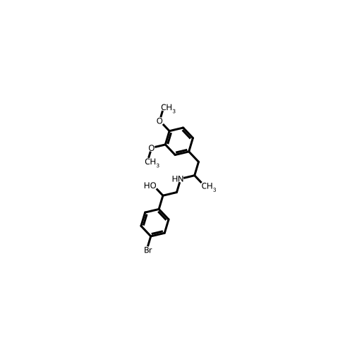 COc1ccc(CC(C)NCC(O)c2ccc(Br)cc2)cc1OC